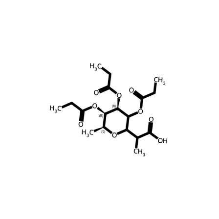 CCC(=O)OC1C(C(C)C(=O)O)O[C@@H](C)[C@@H](OC(=O)CC)[C@H]1OC(=O)CC